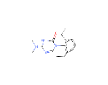 CCc1cccc(CC)c1N1C=NC(N(C)C)NC1=O